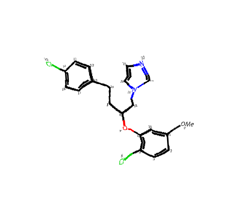 COc1ccc(Cl)c(OC(CCc2ccc(Cl)cc2)Cn2ccnc2)c1